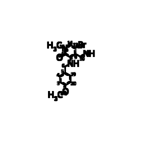 COc1ccc(CNc2c(C=N)c(Br)cn(C)c2=O)cc1